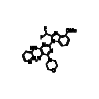 COc1cccc2c1nc(C(F)F)n2-c1nc(Nc2cccnc2)c(N)c(N2CCOCC2)n1